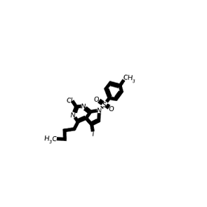 CCCCc1nc(Cl)nc2c1c(I)cn2S(=O)(=O)c1ccc(C)cc1